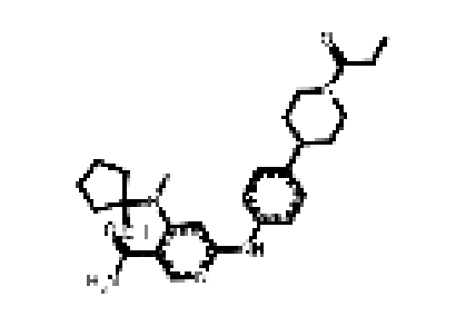 CCC(=O)N1CCC(c2ccc(Nc3cc(N(C)C4(O)CCCC4)c(C(N)=O)cn3)cc2)CC1